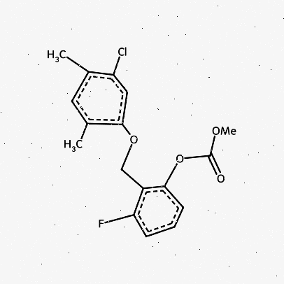 COC(=O)Oc1cccc(F)c1COc1cc(Cl)c(C)cc1C